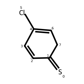 S=C1[C]=CC(Cl)=CC1